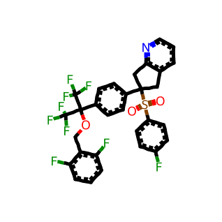 O=S(=O)(c1ccc(F)cc1)C1(c2ccc(C(OCc3c(F)cccc3F)(C(F)(F)F)C(F)(F)F)cc2)Cc2cccnc2C1